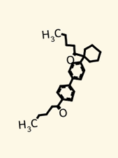 CCCCC(=O)c1ccc(-c2ccc(C3(C(=O)CCCC)CCCCC3)cc2)cc1